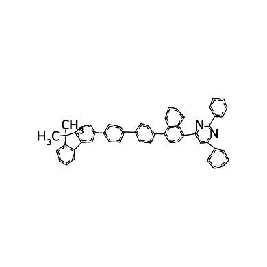 CC1(C)c2ccccc2-c2cc(-c3ccc(-c4ccc(-c5ccc(-c6cc(-c7ccccc7)nc(-c7ccccc7)n6)c6ccccc56)cc4)cc3)ccc21